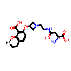 N[C@@H](CC(O)NCCN1CC(Oc2ccc3c(c2C(=O)O)OBCC3)C1)C(=O)O